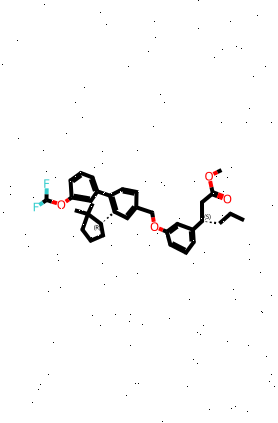 CCC[C@@H](CC(=O)OC)c1cccc(OCc2ccc(-c3cccc(OC(F)F)c3)c([C@@H]3CCCC3(C)C)c2)c1